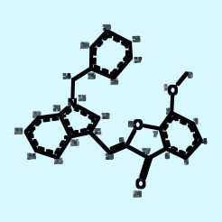 COc1cccc2c1OC(=Cc1cn(Cc3ccccc3)c3ccccc13)C2=O